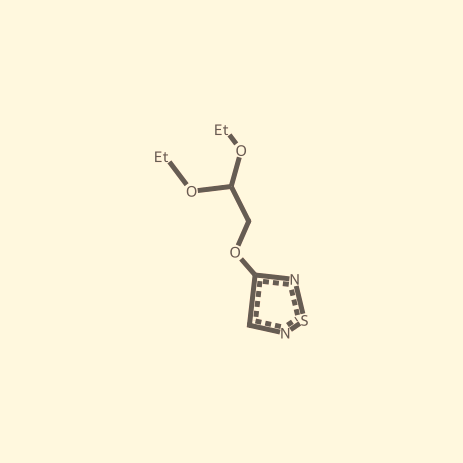 CCOC(COc1cnsn1)OCC